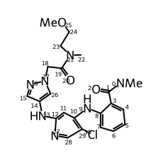 CNC(=O)c1ccccc1Nc1cc(Nc2cnn(CC(=O)N(C)CCOC)c2)ncc1Cl